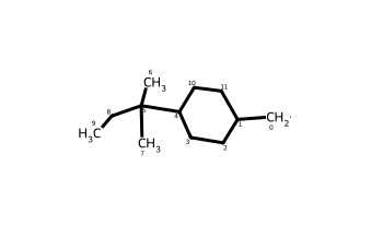 [CH2]C1CCC(C(C)(C)CC)CC1